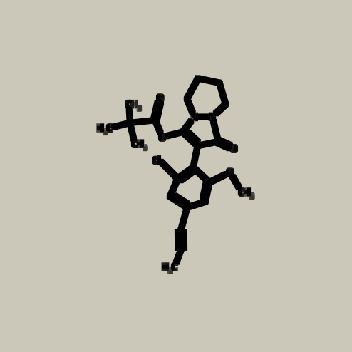 CC#Cc1cc(Cl)c(-c2c(OC(=O)C(C)(C)C)n3n(c2=O)CCCC3)c(OC)c1